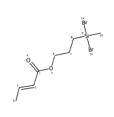 CC=CC(=O)OCCC[Si](C)(Br)Br